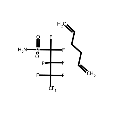 C=CCCC=C.NS(=O)(=O)C(F)(F)C(F)(F)C(F)(F)C(F)(F)F